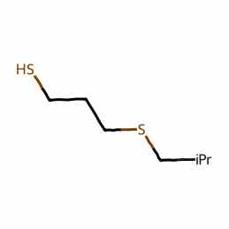 CC(C)CSCCCS